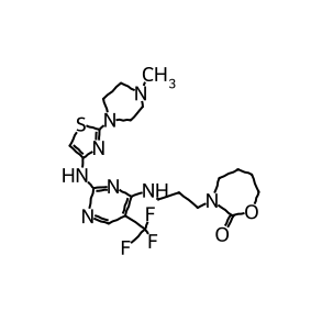 CN1CCN(c2nc(Nc3ncc(C(F)(F)F)c(NCCCN4CCCCOC4=O)n3)cs2)CC1